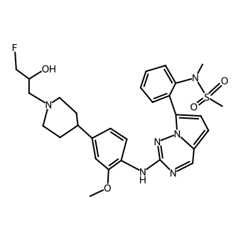 COc1cc(C2CCN(CC(O)CF)CC2)ccc1Nc1ncc2ccc(-c3ccccc3N(C)S(C)(=O)=O)n2n1